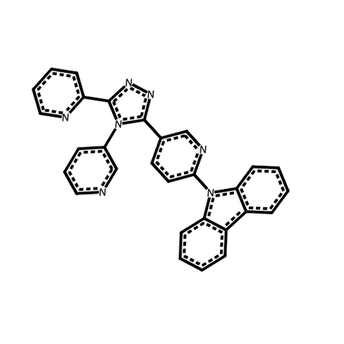 c1ccc(-c2nnc(-c3ccc(-n4c5ccccc5c5ccccc54)nc3)n2-c2cccnc2)nc1